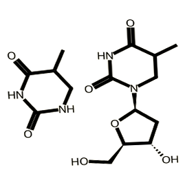 CC1CN([C@H]2C[C@H](O)[C@@H](CO)O2)C(=O)NC1=O.CC1CNC(=O)NC1=O